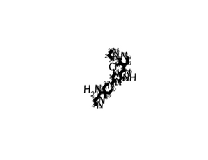 N[C@@H]1c2ccnn2CC12CCN(c1cnc3c(-c4ccnc(-n5cccn5)c4Cl)n[nH]c3n1)CC2